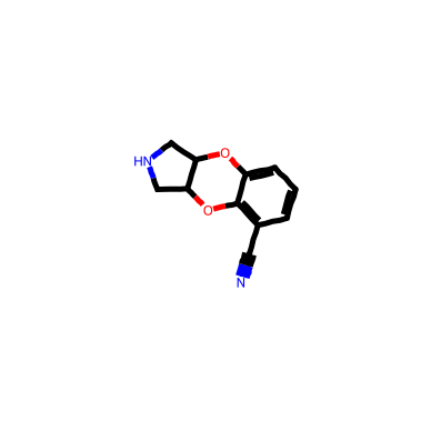 N#Cc1cccc2c1OC1CNCC1O2